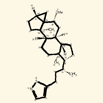 CO[C@@H]1C[C@H]2[C@@H]3CC[C@H]([C@H](C)CCc4ccns4)[C@@]3(C)CC[C@@H]2[C@@]2(C)CC[C@@H]3CC312